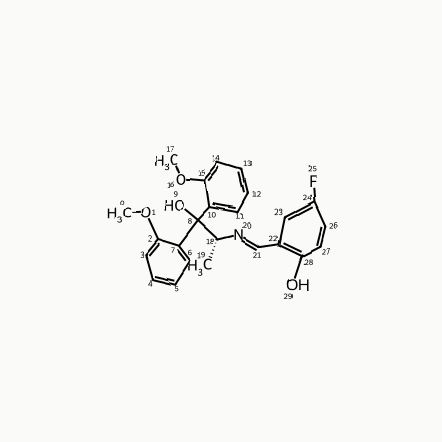 COc1ccccc1C(O)(c1ccccc1OC)[C@@H](C)N=Cc1cc(F)ccc1O